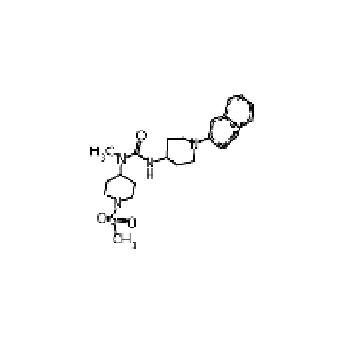 CN(C(=O)NC1CCN(c2ccc3ccccc3c2)CC1)C1CCN(S(C)(=O)=O)CC1